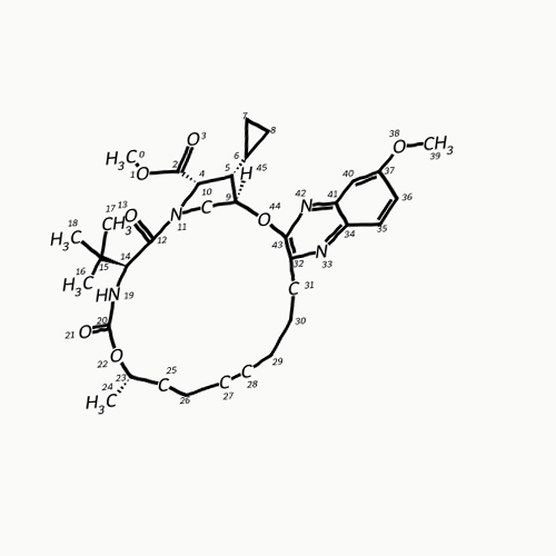 COC(=O)[C@@H]1[C@H](C2CC2)[C@@H]2CN1C(=O)[C@H](C(C)(C)C)NC(=O)O[C@@H](C)CCCCCCCc1nc3ccc(OC)cc3nc1O2